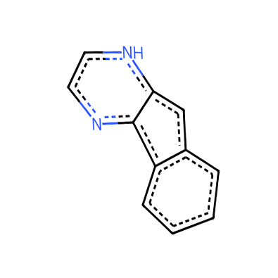 c1ccc2c3ncc[nH]c-3cc2c1